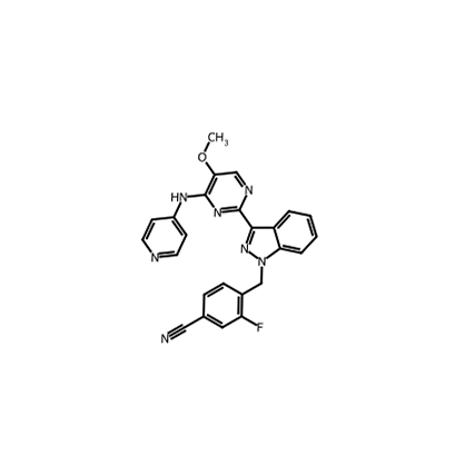 COc1cnc(-c2nn(Cc3ccc(C#N)cc3F)c3ccccc23)nc1Nc1ccncc1